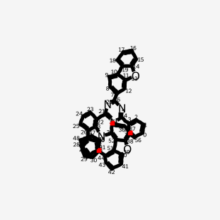 c1ccc(-c2nc(-c3ccc4c(c3)oc3ccccc34)nc(-c3cccc4c5ccccc5n(-c5cccc6oc7cccc(-c8ccccc8)c7c56)c34)n2)cc1